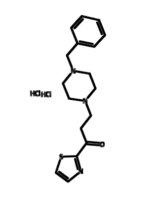 Cl.Cl.O=C(CCN1CCN(Cc2ccccc2)CC1)c1nccs1